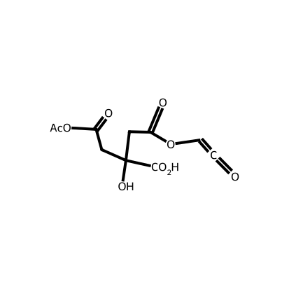 CC(=O)OC(=O)CC(O)(CC(=O)OC=C=O)C(=O)O